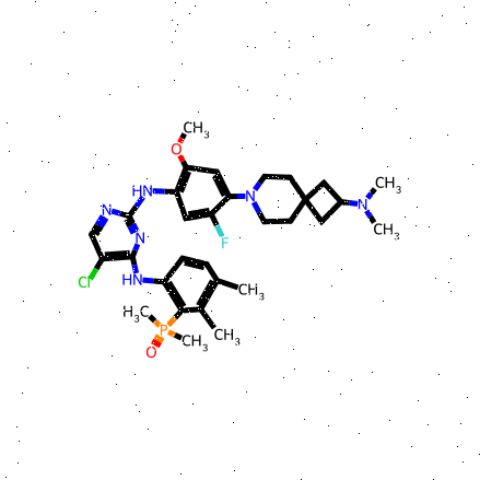 COc1cc(N2CCC3(CC2)CC(N(C)C)C3)c(F)cc1Nc1ncc(Cl)c(Nc2ccc(C)c(C)c2P(C)(C)=O)n1